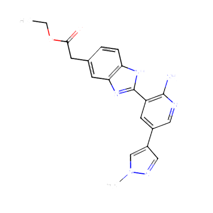 CCOC(=O)Cc1ccc2[nH]c(-c3cc(-c4cnn(C)c4)cnc3N)nc2c1